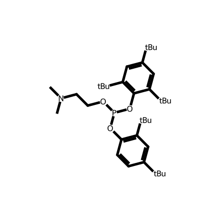 CN(C)CCOP(Oc1ccc(C(C)(C)C)cc1C(C)(C)C)Oc1c(C(C)(C)C)cc(C(C)(C)C)cc1C(C)(C)C